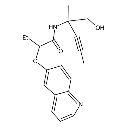 CC#CC(C)(CO)NC(=O)C(CC)Oc1ccc2ncccc2c1